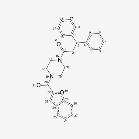 O=C(CC(c1ccccc1)c1ccccc1)N1CCN(C(=O)c2cc3ccccc3o2)CC1